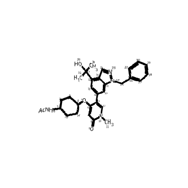 CC(=O)NC1CCC(Oc2cc(=O)n(C)cc2-c2cc(C(C)(C)O)c3cnn(Cc4ccccc4)c3c2)CC1